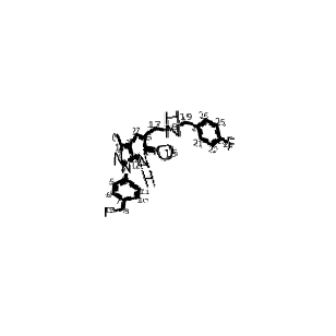 Cc1nn(-c2ccc(CF)cc2)c2[nH]c(=O)c(CNCc3ccc(F)cc3)cc12